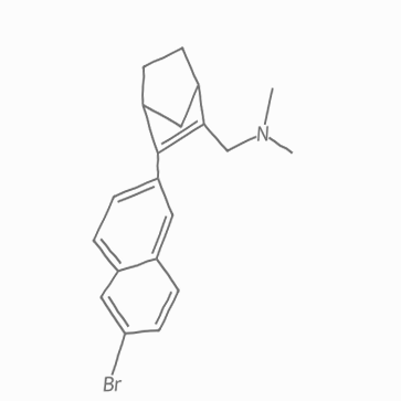 CN(C)CC1=C(c2ccc3cc(Br)ccc3c2)C2CCC1C2